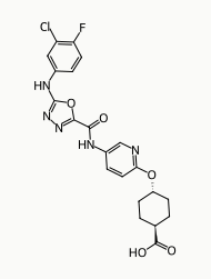 O=C(Nc1ccc(O[C@H]2CC[C@H](C(=O)O)CC2)nc1)c1nnc(Nc2ccc(F)c(Cl)c2)o1